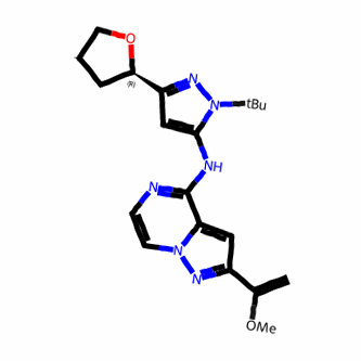 C=C(OC)c1cc2c(Nc3cc([C@H]4C[CH]CO4)nn3C(C)(C)C)nccn2n1